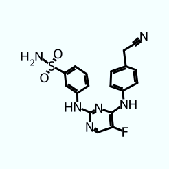 N#CCc1ccc(Nc2nc(Nc3cccc(S(N)(=O)=O)c3)ncc2F)cc1